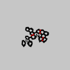 c1ccc(-c2cccc3cccc(-c4ccccc4N(c4ccc(-c5cccc6c5c5ccccc5n6-c5ccccc5)cc4)c4ccccc4-c4cccc5c4ccc4ccccc45)c23)cc1